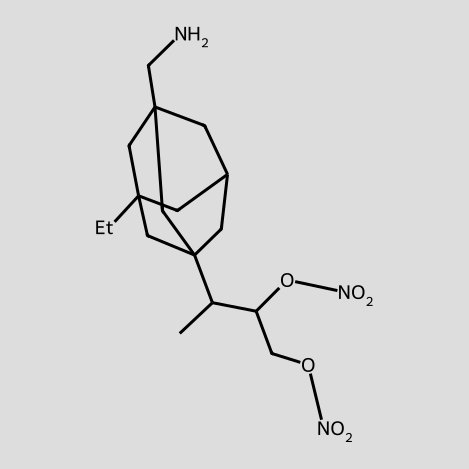 CCC12CC3CC(CN)(C1)CC(C(C)C(CO[N+](=O)[O-])O[N+](=O)[O-])(C3)C2